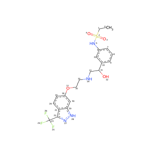 CCS(=O)(=O)Nc1cccc(C(O)CNCCOc2ccc3c(C(F)(F)F)n[nH]c3c2)c1